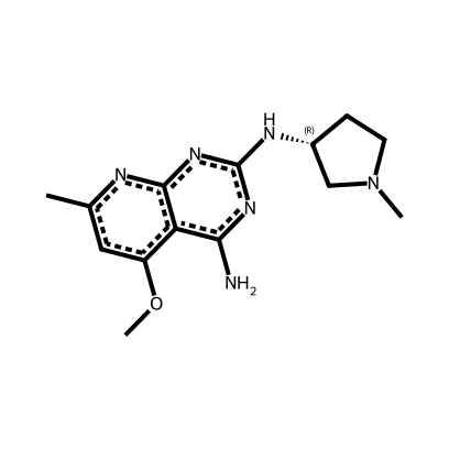 COc1cc(C)nc2nc(N[C@@H]3CCN(C)C3)nc(N)c12